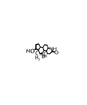 C[C@]12CCC(=O)NC1CCC1C3CCC(O)[C@@]3(C)C[C@H](O)C12